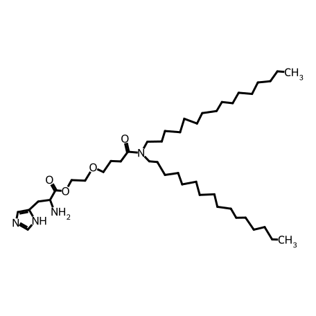 CCCCCCCCCCCCCCCCN(CCCCCCCCCCCCCCCC)C(=O)CCCOCCOC(=O)C(N)Cc1cnc[nH]1